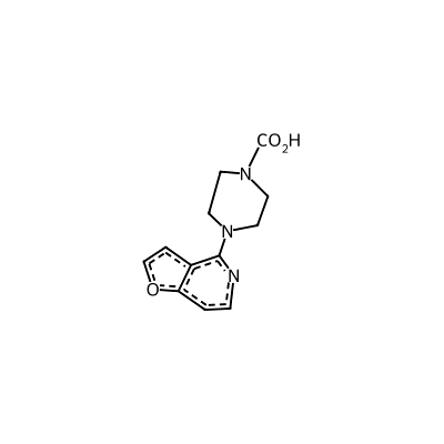 O=C(O)N1CCN(c2nccc3occc23)CC1